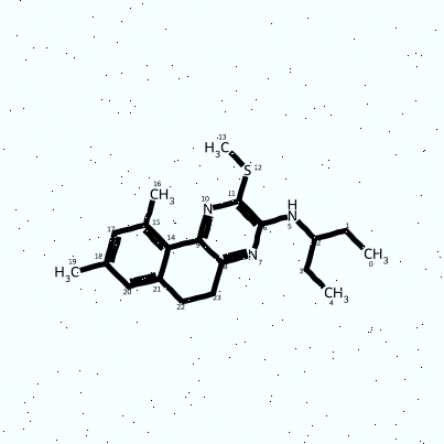 CCC(CC)Nc1nc2c(nc1SC)-c1c(C)cc(C)cc1CC2